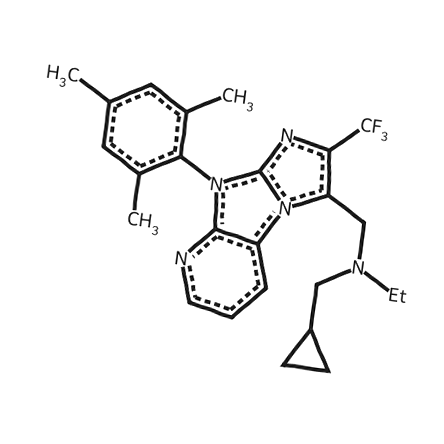 CCN(Cc1c(C(F)(F)F)nc2n(-c3c(C)cc(C)cc3C)c3ncccc3n12)CC1CC1